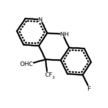 O=CC1(C(F)(F)F)c2cc(F)ccc2Nc2ncccc21